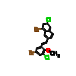 COc1c(Cl)cc(Br)cc1C=Cc1ccc2cc(Cl)cc(Br)c2c1